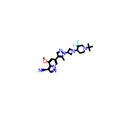 COc1cc(-c2cnn(C3CN(C4CCN(C(C)(C)C)CC4(F)F)C3)c2C)cn2ncc(C#N)c12